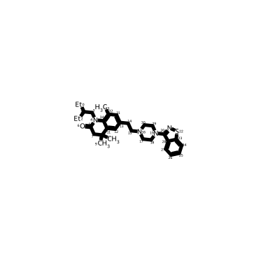 CCC(CC)CN1C(=O)CC(C)(C)c2cc(CCN3CCN(c4nsc5ccccc45)CC3)cc(C)c21